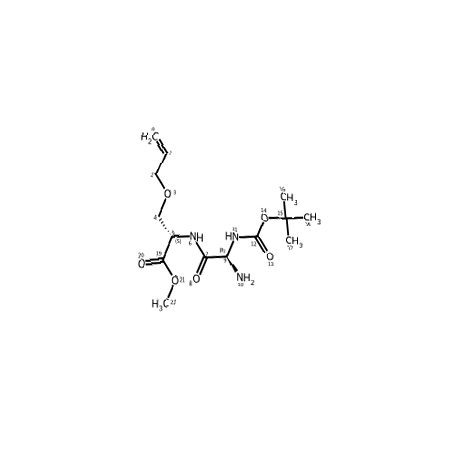 C=CCOC[C@H](NC(=O)[C@H](N)NC(=O)OC(C)(C)C)C(=O)OC